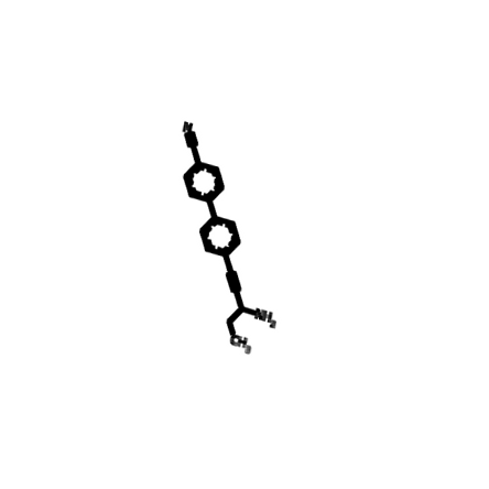 CCC(N)C#Cc1ccc(-c2ccc(C#N)cc2)cc1